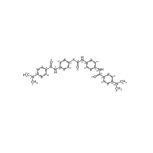 CN(C)c1ccc(C(=O)Nc2ccc(CC(=O)Nc3ccc(NC(=O)c4ccc(N(C)C)cc4)cc3)cc2)cc1